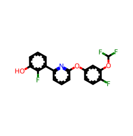 Oc1cccc(-c2cccc(Oc3ccc(F)c(OC(F)F)c3)n2)c1F